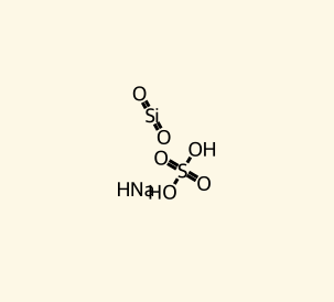 O=S(=O)(O)O.O=[Si]=O.[NaH]